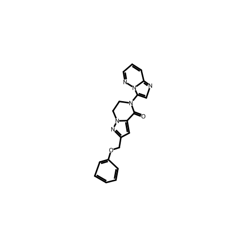 O=C1c2cc(COc3ccccc3)nn2CCN1c1cnc2cccnn12